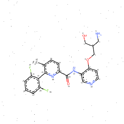 NCC(CO)COc1ccncc1NC(=O)c1ccc(C(F)(F)F)c(-c2c(F)cccc2F)n1